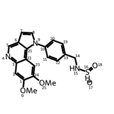 COc1cc2ncc3ccn(-c4ccc(CN[SH](=O)=O)cc4)c3c2cc1OC